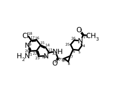 CC(=O)N1CCC(C2C[C@@H]2C(=O)Nc2cc3cc(Cl)nc(N)c3cn2)CC1